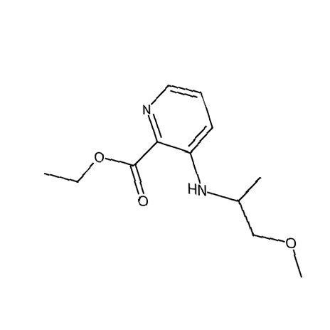 CCOC(=O)c1ncccc1NC(C)COC